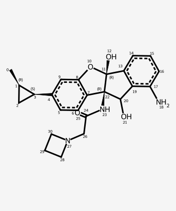 C[C@@H]1C[C@@H]1c1ccc2c(c1)O[C@]1(O)c3cccc(N)c3C(O)[C@]21NC(=O)CN1CCC1